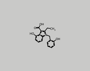 CCc1c(C(=O)O)c2c(O)cccc2n1Cc1ccccc1O